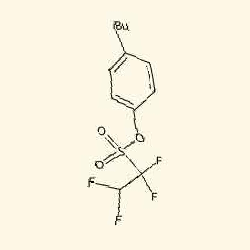 CCC(C)c1ccc(OS(=O)(=O)C(F)(F)C(F)F)cc1